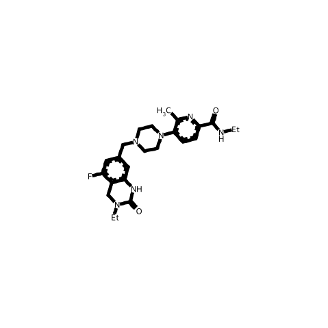 CCNC(=O)c1ccc(N2CCN(Cc3cc(F)c4c(c3)NC(=O)N(CC)C4)CC2)c(C)n1